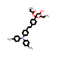 C=CC(=O)OC(CCO)(OC(=O)C=C)c1ccc(C=Cc2ccc(N(c3ccc(C)cc3)c3ccc(C)cc3)cc2)cc1